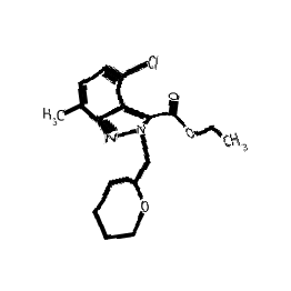 CCOC(=O)c1c2c(Cl)ccc(C)c2nn1CC1CCCCO1